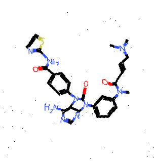 CN(C)CC=CC(=O)N(C)c1cccc(-n2c(=O)n(-c3ccc(C(=O)Nc4nccs4)cc3)c3c(N)ncnc32)c1